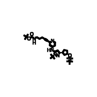 CC(C)(C)OC(=O)NCCCC#Cc1cc(Nc2cc([C@H]3CC[C@@H](O[Si](C)(C)C(C)(C)C)C3)nn2C(C)(C)C)ccn1